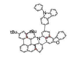 CC(C)(C)c1cc(-c2cccc3cccc(-c4ccccc4N(c4cccc(-c5ccc6c(c5)c5ccccc5n6-c5ccccc5)c4)c4ccccc4-c4ccc5c(c4)oc4ccccc45)c23)cc(C(C)(C)C)c1